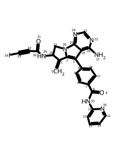 C=C1c2c(-c3ccc(C(=O)Nc4ccccn4)cc3)c3c(N)ncnc3n2CC1NC(=O)C#CI